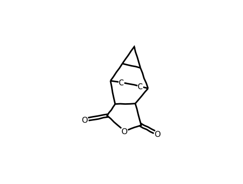 O=C1OC(=O)C2C3CCC(C4CC43)C12